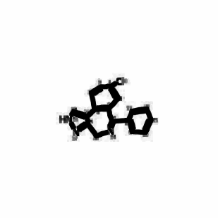 Clc1ccc2c(c1)C(c1ccccc1)=NCc1n[nH]cc1-2